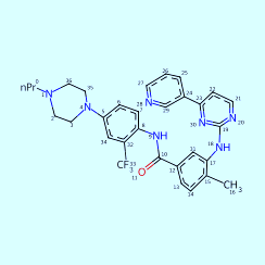 CCCN1CCN(c2ccc(NC(=O)c3ccc(C)c(Nc4nccc(-c5cccnc5)n4)c3)c(C(F)(F)F)c2)CC1